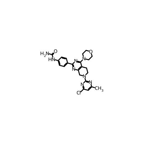 Cc1cc(Cl)nc(N2CCc3c(nc(-c4ccc(NC(N)=O)cc4)nc3N3CCOCC3)C2)n1